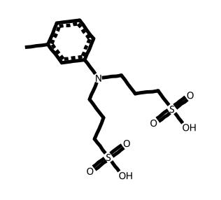 Cc1cccc(N(CCCS(=O)(=O)O)CCCS(=O)(=O)O)c1